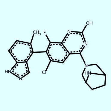 Cc1ccc2[nH]ncc2c1-c1c(Cl)cc2c(N3CC4CCC(C3)N4)nc(O)nc2c1F